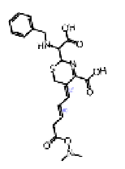 CN(C)OC(=O)C/C=C/C=C1\CSC(C(NCc2ccccc2)C(=O)O)N=C1C(=O)O